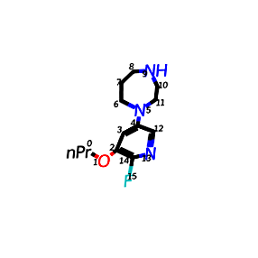 CCCOc1cc(N2CCCNCC2)cnc1F